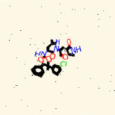 CC(C)CC(NC(=O)OC(c1ccccc1)C(C)(C)c1cccc(Cl)c1)C(=O)NC(C=O)C[C@@H]1CCNC1=O